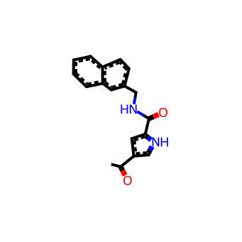 CC(=O)c1c[nH]c(C(=O)NCc2ccc3ccccc3c2)c1